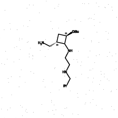 CC(C)CNCCNC1[C@H](CN)C[C@H]1OCC(C)C